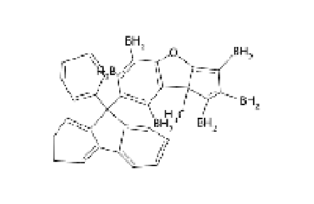 BC1=C(B)C2(C)C(=C1B)Oc1c(B)c(B)c(C3(c4ccccc4)c4ccccc4-c4ccccc43)c(B)c12